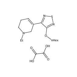 CCCCCCOc1nsnc1C1=CCCN(CC)C1.O=C(O)C(=O)O